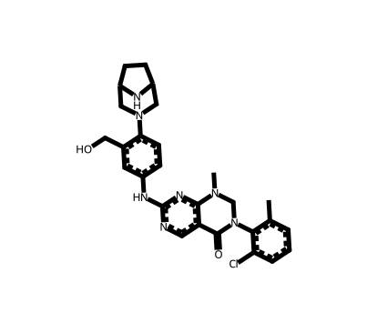 Cc1cccc(Cl)c1N1CN(C)c2nc(Nc3ccc(N4CC5CCC(C4)N5)c(CO)c3)ncc2C1=O